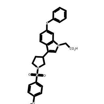 CC(C)Oc1ccc(S(=O)(=O)N2CCC(c3cn(CC(=O)O)c4cc(Sc5ccccc5)ccc34)C2)cc1